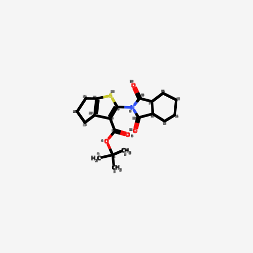 CC(C)(C)OC(=O)c1c(N2C(=O)C3CCCCC3C2=O)sc2c1CCC2